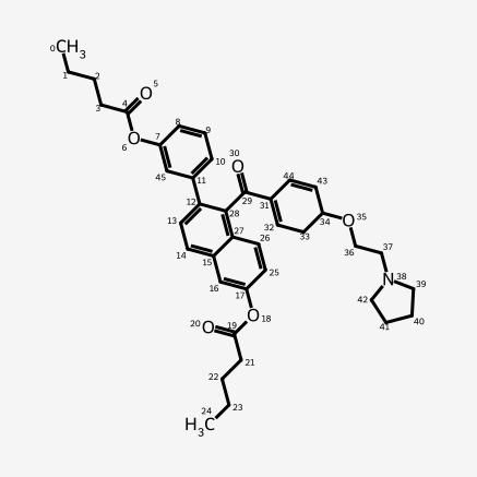 CCCCC(=O)Oc1cccc(-c2ccc3cc(OC(=O)CCCC)ccc3c2C(=O)C2=CCC(OCCN3CCCC3)C=C2)c1